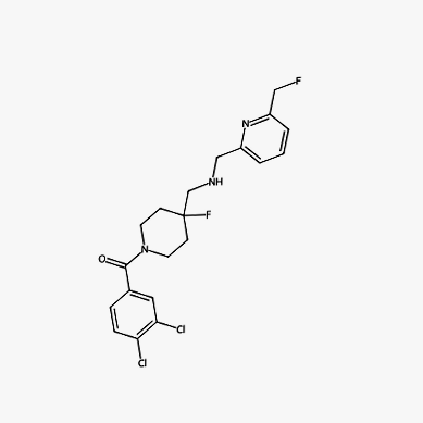 O=C(c1ccc(Cl)c(Cl)c1)N1CCC(F)(CNCc2cccc(CF)n2)CC1